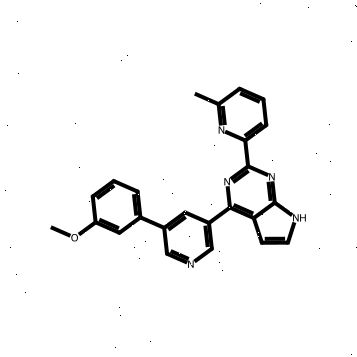 COc1cccc(-c2cncc(-c3nc(-c4cccc(C)n4)nc4[nH]ccc34)c2)c1